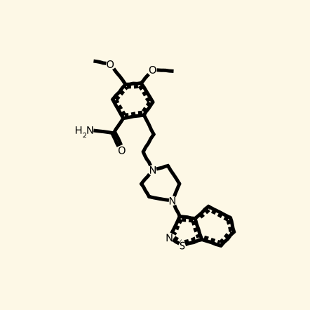 COc1cc(CCN2CCN(c3nsc4ccccc34)CC2)c(C(N)=O)cc1OC